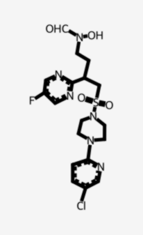 O=CN(O)CCC(CS(=O)(=O)N1CCN(c2ccc(Cl)cn2)CC1)c1ncc(F)cn1